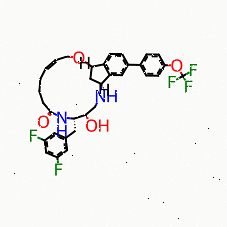 O=C1CCCC=CCO[C@@H]2C[C@H](NC[C@@H](O)[C@H](Cc3cc(F)cc(F)c3)N1)c1cc(-c3ccc(OC(F)(F)F)cc3)ccc12